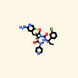 CC[C@@H](NC(=O)N1C(=O)[C@H](Cc2cc(N)ncc2F)[C@H]1C(=O)N(C)c1ccncc1)c1cccc(Cl)c1